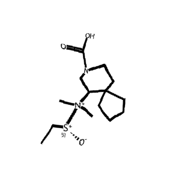 CC[S@@+]([O-])[N+](C)(C)C1CN(C(=O)O)CCC12CCCC2